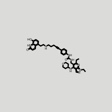 CCc1nc2c(cnn2CC)c(NC2CCOCC2)c1CNC(=O)Nc1ccc(C#CCCCNCCc2ccc(O)c3[nH]c(=O)ccc23)cc1